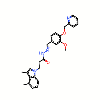 COc1cc(/C=N/NC(=O)CCn2cc(C)c3c(C)cccc32)ccc1OCc1ccccn1